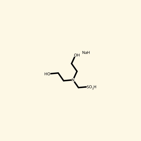 O=S(=O)(O)CN(CCO)CCO.[NaH]